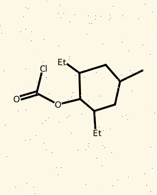 CCC1CC(C)CC(CC)C1OC(=O)Cl